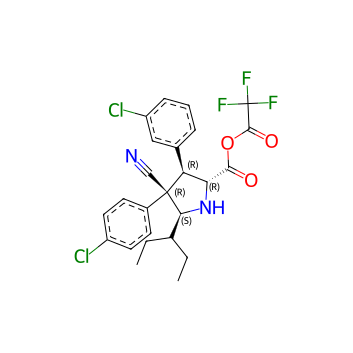 CCC(CC)[C@@H]1N[C@@H](C(=O)OC(=O)C(F)(F)F)[C@H](c2cccc(Cl)c2)[C@@]1(C#N)c1ccc(Cl)cc1